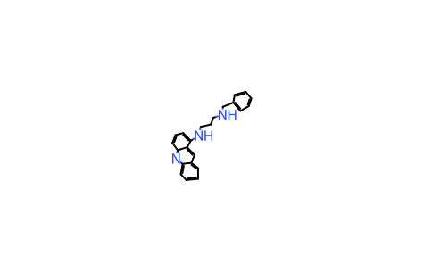 c1ccc(CNCCCNc2cccc3nc4ccccc4cc23)cc1